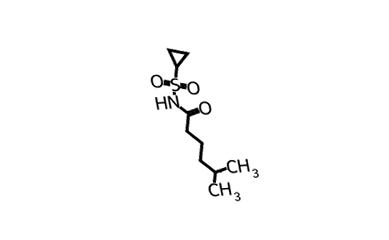 C[C](C)CCCC(=O)NS(=O)(=O)C1CC1